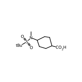 CN(C1CCC(C(=O)O)CC1)S(=O)(=O)C(C)(C)C